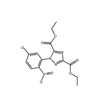 CCOC(=O)c1nc(C(=O)OCC)n(-c2cc(Cl)ccc2[N+](=O)[O-])n1